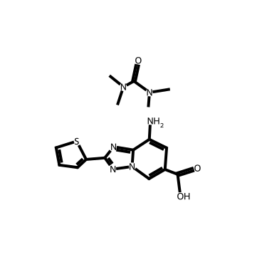 CN(C)C(=O)N(C)C.Nc1cc(C(=O)O)cn2nc(-c3cccs3)nc12